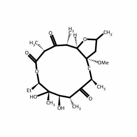 CC[C@H]1OC(=O)[C@H](C)C(=O)[C@H](C)[C@H]2OC(C)C[C@@]2(OC)C[C@@H](C)C(=O)[C@H](C)[C@@H](O)[C@]1(C)O